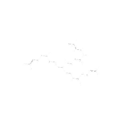 CC(C)=CCCC(C)CCOC(OCCC(C)CCC=C(C)C)OCCC(C)CCC=C(C)C